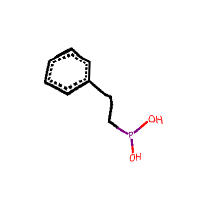 OP(O)CCc1ccccc1